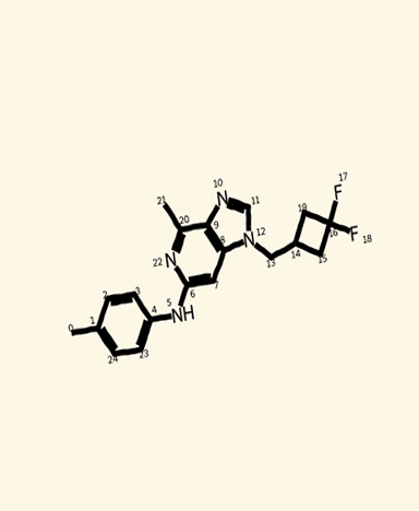 Cc1ccc(Nc2cc3c(ncn3CC3CC(F)(F)C3)c(C)n2)cc1